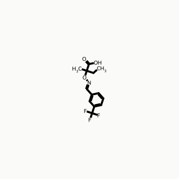 CCC(C)(O/N=C/c1cccc(C(F)(F)F)c1)C(=O)O